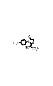 Cc1ccc(N2C(=O)CS/C2=C(/C#N)C(=O)O)cc1